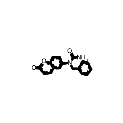 NC(=O)N(Cc1ccccc1)c1ccc2oc(=O)ccc2c1